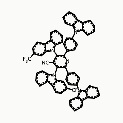 N#Cc1c(-n2c3ccccc3c3ccc(C(F)(F)F)cc32)c(-c2ccc(-n3c4ccccc4c4ccccc43)cc2)nc(-c2ccc(-n3c4ccccc4c4ccccc43)cc2)c1-n1c2ccccc2c2ccc(C(F)(F)F)cc21